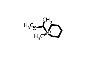 COC(C)[N+]1(C)CCCCC1